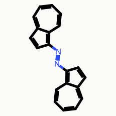 c1ccc2ccc(N=Nc3ccc4cccccc3-4)c-2cc1